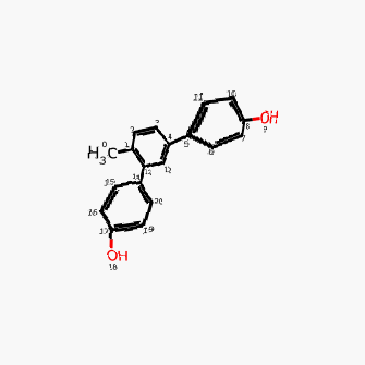 Cc1ccc(-c2ccc(O)cc2)cc1-c1ccc(O)cc1